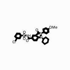 COc1ccc(-n2c(=O)c3cc(C(=O)NS(=O)(=O)c4cccc(Cl)c4)ccc3n2C2CCCCC2)cc1